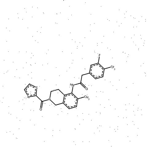 Cc1ccc2c(c1NC(=O)Cc1ccc(C(F)(F)F)c(F)c1)CCN(C(=O)c1nccs1)C2